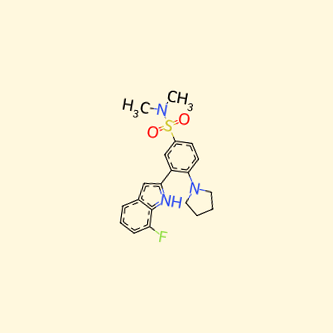 CN(C)S(=O)(=O)c1ccc(N2CCCC2)c(-c2cc3cccc(F)c3[nH]2)c1